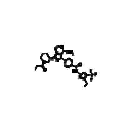 CCC(=O)N1CCC[C@@H](c2nc(-c3ccc(C(=O)Nc4cc(C(F)(F)F)n(CC)n4)cc3)c3c(N)nccn23)C1